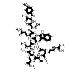 CC[C@H](NC(=O)[C@@H](CCCNC(=N)N)NC(C)=O)C(=O)N[C@@H](CCC(N)=O)C(=O)N[C@H](C(=O)N[C@@H](Cc1c[nH]c2ccccc12)C(=O)N[C@@H](CCC(N)=O)C(=O)N[C@@H](CS)C(=O)N[C@@H](Cc1ccc(O)cc1)C(=O)O)[C@@H](C)O